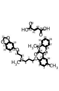 Cc1ccc(OCCCN(C)CCOc2ccc3c(c2)OCO3)c(C2Sc3ccccc3N(C)C2=O)c1.O=C(O)C=CC(=O)O